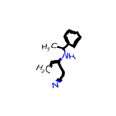 C=CC(CC#N)NC(C)c1ccccc1